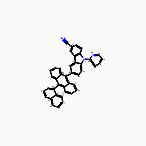 N#Cc1ccc2c(c1)c1cc(-c3c4ccccc4c(-c4cccc5ccccc45)c4ccccc34)ccc1n2-c1ccccn1